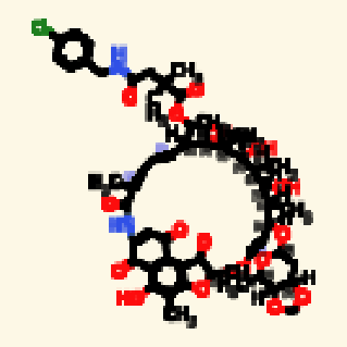 C/C1=C/C=C/[C@H](C(C)OC(=O)C(C)(C)CC(=O)NCc2ccc(Cl)cc2)[C@H](O)[C@@H](C)[C@@H](O)[C@@H](C)[C@H](O)[C@H](C)[C@@H](O[C@H]2C[C@@H]3OCO[C@@H]3[C@@H](C)O2)/C=C/O[C@@]2(C)Oc3c(C)c(O)c4c(c3C2=O)C(=O)C=C(NC1=O)C4=O